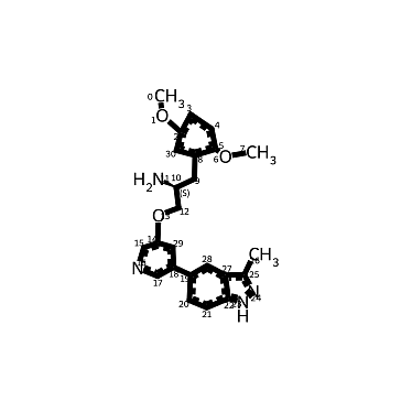 COc1ccc(OC)c(C[C@H](N)COc2cncc(-c3ccc4[nH]nc(C)c4c3)c2)c1